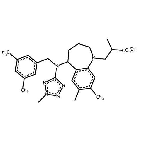 CCOC(=O)C(C)CN1CCCC(N(Cc2cc(C(F)(F)F)cc(C(F)(F)F)c2)c2nnn(C)n2)c2cc(C)c(C(F)(F)F)cc21